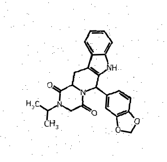 CC(C)N1CC(=O)N2C(Cc3c([nH]c4ccccc34)C2c2ccc3c(c2)OCO3)C1=O